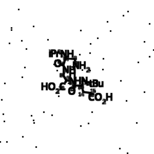 CC(C)N[C@@H](CN)C(=O)NCC(NC(=O)[C@H](CCC(=O)O)NC(C)(C)C)C(=O)O